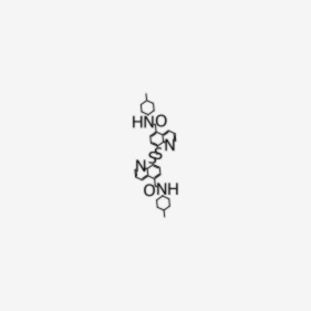 CC1CCC(NC(=O)c2ccc(SSc3ccc(C(=O)NC4CCC(C)CC4)c4cccnc34)c3ncccc23)CC1